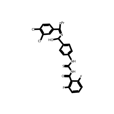 CCCC(=NC(O)c1ccc(NC(=S)NC(=O)c2c(F)cccc2F)cc1)c1ccc(Cl)c(Cl)c1